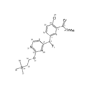 COC(=O)c1cc(C(F)c2ccnc(OCC[Si](C)(C)C)n2)ccc1Cl